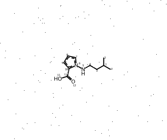 CC(C)CCNn1cccc1C(=O)O